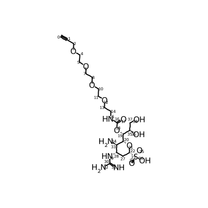 C#CCOCCOCCOCCOCCNC(=O)O[C@@H]([C@@H]1O[C@H](S(=O)(=O)O)C[C@H](NC(=N)N)[C@H]1N)[C@H](O)CO